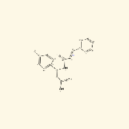 Cc1ccc(C(CC(=O)O)NC(=O)/C=C/c2ccccc2)cc1